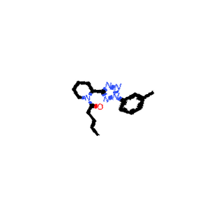 CCCCC(=O)N1CCCCC1c1nnn(-c2cccc(C)c2)n1